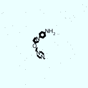 CN1CCN(CCOc2ccn(-c3ccc(N)cc3)c2)CC1